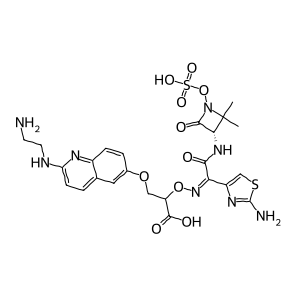 CC1(C)[C@H](NC(=O)/C(=N\OC(COc2ccc3nc(NCCN)ccc3c2)C(=O)O)c2csc(N)n2)C(=O)N1OS(=O)(=O)O